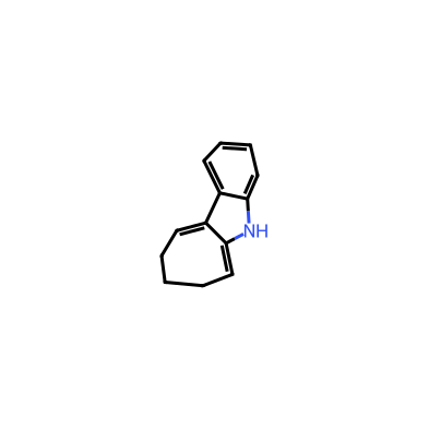 C1=c2[nH]c3ccccc3c2=CCCC1